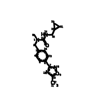 CN(Cc1ccc(-c2noc(C(F)(F)F)n2)cc1)C(=O)NCC1CC1